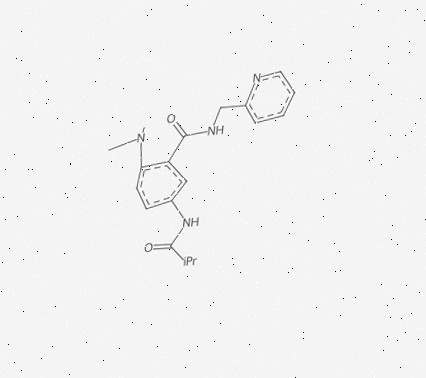 CC(C)C(=O)Nc1ccc(N(C)C)c(C(=O)NCc2ccccn2)c1